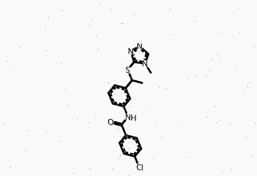 CC(Sc1nncn1C)c1cccc(NC(=O)c2ccc(Cl)cc2)c1